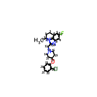 CC1CCc2cc(F)cc3nc(CN4CCC(Oc5ccccc5Cl)CC4)n1c23